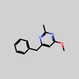 COc1cc(Cc2ccccc2)nc(C)n1